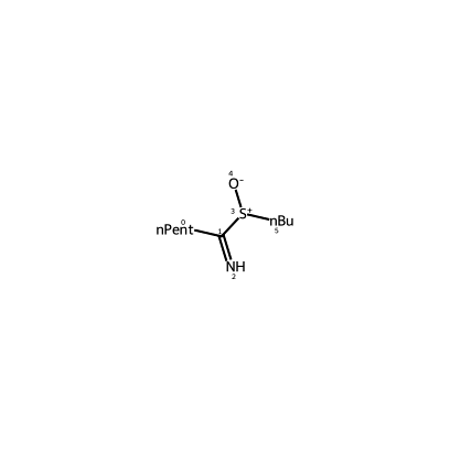 CCCCCC(=N)[S+]([O-])CCCC